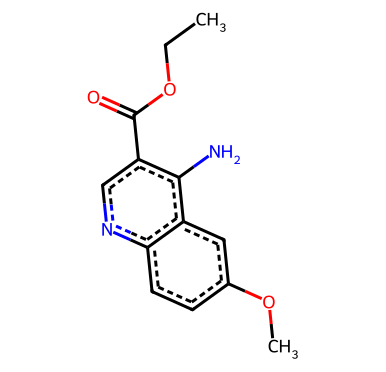 CCOC(=O)c1cnc2ccc(OC)cc2c1N